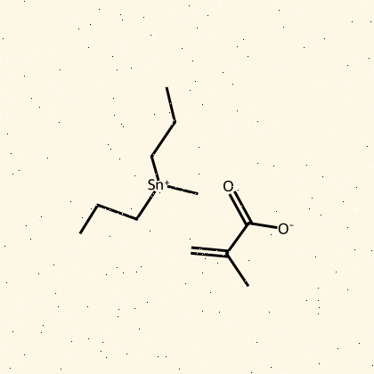 C=C(C)C(=O)[O-].CC[CH2][Sn+]([CH3])[CH2]CC